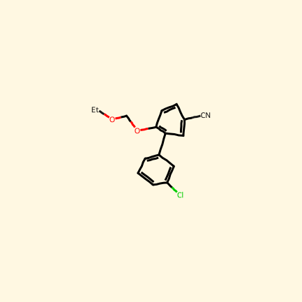 CCOCOc1ccc(C#N)cc1-c1cccc(Cl)c1